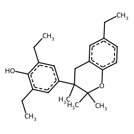 CCc1ccc2c(c1)CC(C)(c1cc(CC)c(O)c(CC)c1)C(C)(C)O2